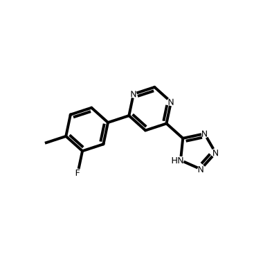 Cc1ccc(-c2cc(-c3nnn[nH]3)ncn2)cc1F